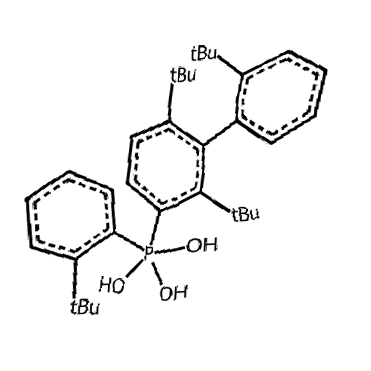 CC(C)(C)c1ccccc1-c1c(C(C)(C)C)ccc(P(O)(O)(O)c2ccccc2C(C)(C)C)c1C(C)(C)C